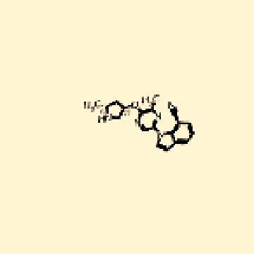 Cc1nc(-n2ccc3cccc(C#N)c32)cnc1O[C@H]1CN[C@H](C)C1